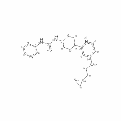 S=C(Nc1cccnc1)NC1CCN(c2cc(OCCC3CC3)ccn2)CC1